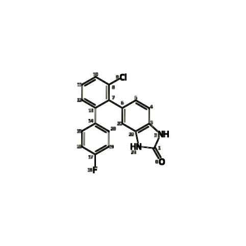 O=c1[nH]c2ccc(-c3c(Cl)cccc3-c3ccc(F)cc3)cc2[nH]1